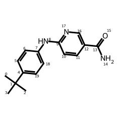 CC(C)(C)c1ccc(Nc2ccc(C(N)=O)cn2)cc1